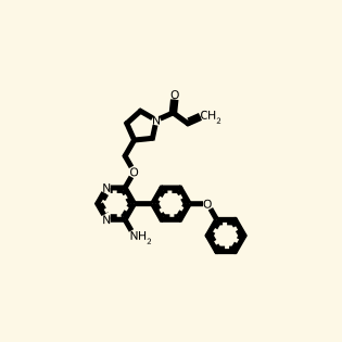 C=CC(=O)N1CCC(COc2ncnc(N)c2-c2ccc(Oc3ccccc3)cc2)C1